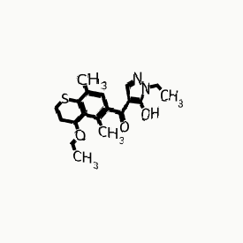 CCOC1CCSc2c(C)cc(C(=O)c3cnn(CC)c3O)c(C)c21